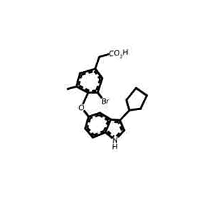 Cc1cc(CC(=O)O)cc(Br)c1Oc1ccc2[nH]cc(C3CCCC3)c2c1